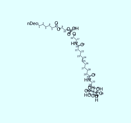 CCCCCCCCCCCCCCCC(=O)OCCOP(=O)(O)OCCNC(=O)CCC/C=C/CCCCC(=O)NCCCC(O)(P(=O)(O)O)P(=O)(O)O